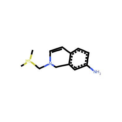 C[SH](C)CN1C=Cc2ccc(N)cc2C1